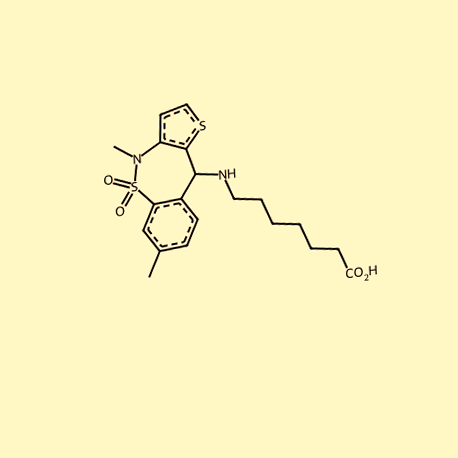 Cc1ccc2c(c1)S(=O)(=O)N(C)c1ccsc1C2NCCCCCCC(=O)O